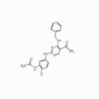 CC(=O)Nc1cc(Nc2ncc(C(C)=O)c(NCc3ccccc3)n2)ccc1Cl